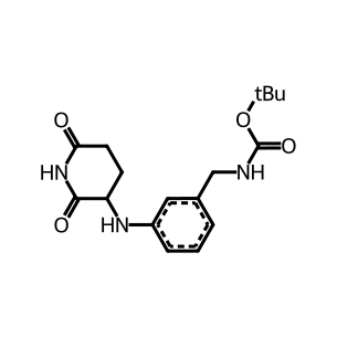 CC(C)(C)OC(=O)NCc1cccc(NC2CCC(=O)NC2=O)c1